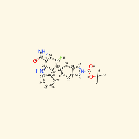 CC(C)(C)OC(=O)n1cc2ccc(-c3c(F)cc(C(N)=O)c4[nH]c5ccccc5c34)cc2c1